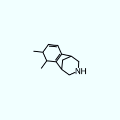 CC1C=CC2=C(C3CNCC2C3)C1C